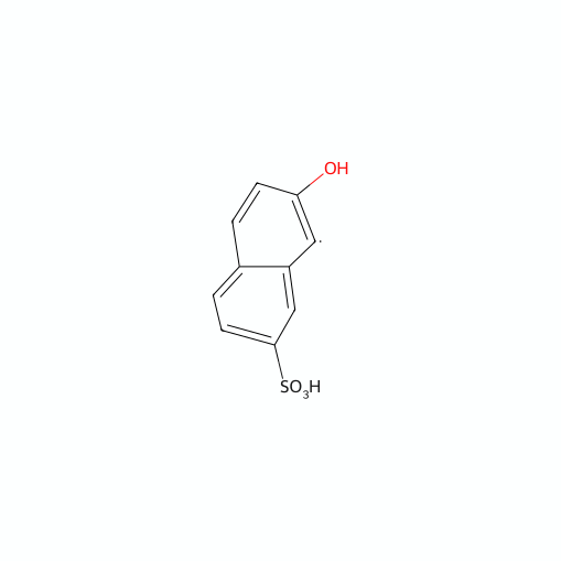 O=S(=O)(O)c1ccc2ccc(O)[c]c2c1